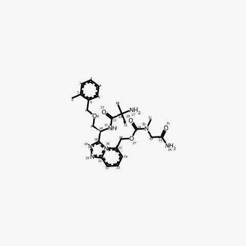 Cc1ccccc1COC[C@@H](NC(=O)C(C)(C)N)c1nnc2cccc(COC(=O)N(C)CC(N)=O)n12